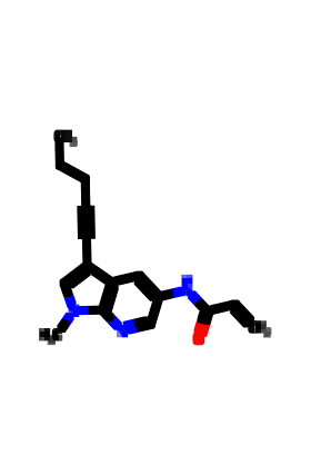 C=CC(=O)Nc1cnc2c(c1)c(C#CCCC)cn2C